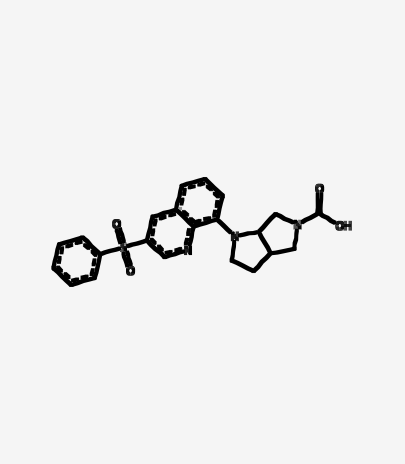 O=C(O)N1CC2CCN(c3cccc4cc(S(=O)(=O)c5ccccc5)cnc34)C2C1